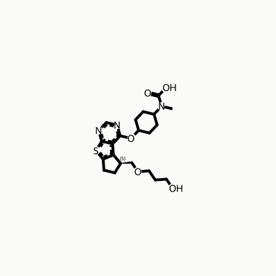 CN(C(=O)O)C1CCC(Oc2ncnc3sc4c(c23)[C@@H](COCCCO)CC4)CC1